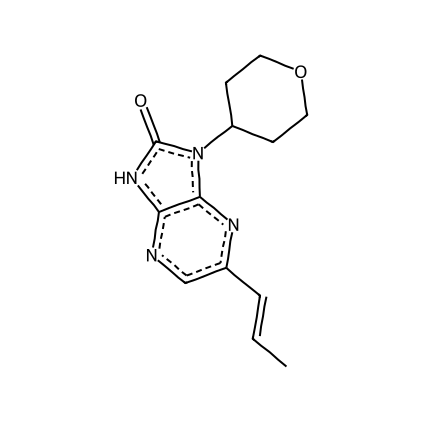 CC=Cc1cnc2[nH]c(=O)n(C3CCOCC3)c2n1